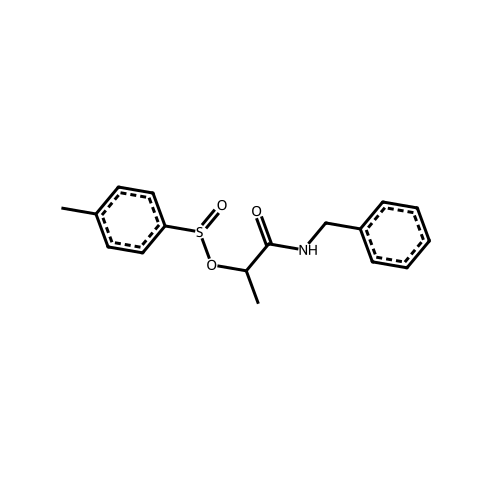 Cc1ccc(S(=O)OC(C)C(=O)NCc2ccccc2)cc1